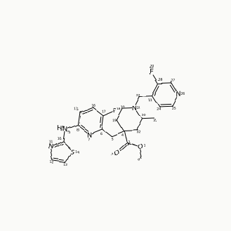 COC(=O)C1(Cc2nc(Nc3nccs3)ccc2F)CCN(Cc2ccncc2F)C(C)C1